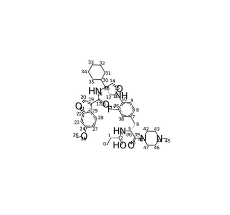 CCC(O)N[C@H](Cc1ccc(NC[C@](C=O)(NC(=O)c2coc3cc(OC)ccc23)C2CCCCC2)c(F)c1)C(=O)N1CCN(C)CC1